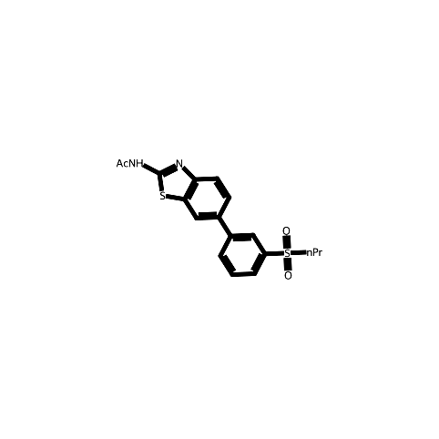 CCCS(=O)(=O)c1cccc(-c2ccc3nc(NC(C)=O)sc3c2)c1